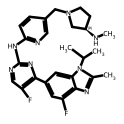 CN[C@@H]1CCN(Cc2ccc(Nc3ncc(F)c(-c4cc(F)c5nc(C)n(C(C)C)c5c4)n3)nc2)C1